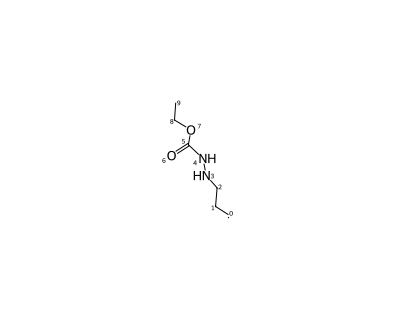 [CH2]CCNNC(=O)OCC